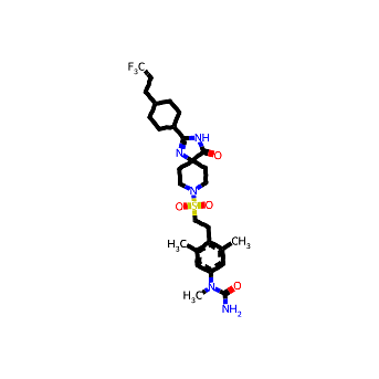 Cc1cc(N(C)C(N)=O)cc(C)c1CCS(=O)(=O)N1CCC2(CC1)N=C(C1CCC(CCC(F)(F)F)CC1)NC2=O